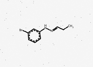 CCC=NNc1cccc(Br)c1